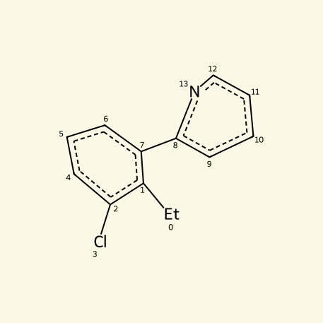 CCc1c(Cl)cccc1-c1ccccn1